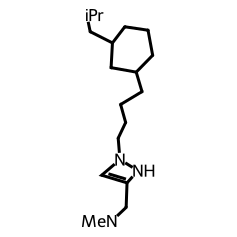 CNCc1cn(CCCCC2CCCC(CC(C)C)C2)[nH]1